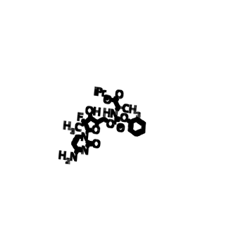 CC(C)OC(=O)[C@H](C)NP(=O)(OCC1O[C@@H](n2ccc(N)nc2=O)[C@](C)(F)C1O)Oc1ccccc1